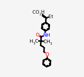 CCC(=CC(=O)O)c1ccc(NC(=O)C(C)(C)CCCOc2ccccc2)cc1